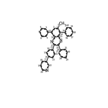 Cc1cc(-c2ccccc2)c2nc(-c3ccc(-c4cccnc4)cc3)c(-c3ccccc3)nc2c1-c1ccccc1